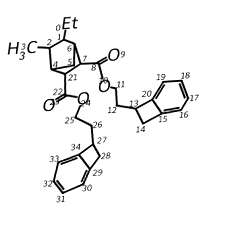 CCC1C(C)C2CC1C(C(=O)OCCC1Cc3ccccc31)C2C(=O)OCCC1Cc2ccccc21